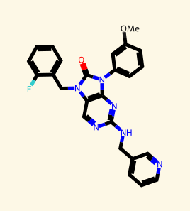 COc1cccc(-n2c(=O)n(Cc3ccccc3F)c3cnc(NCc4cccnc4)nc32)c1